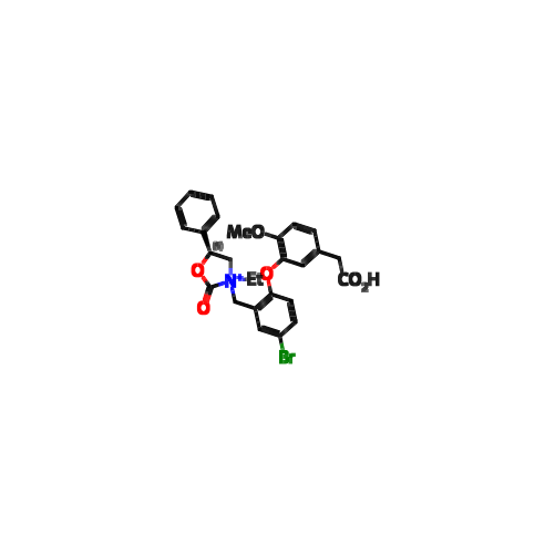 CC[N+]1(Cc2cc(Br)ccc2Oc2cc(CC(=O)O)ccc2OC)C[C@H](c2ccccc2)OC1=O